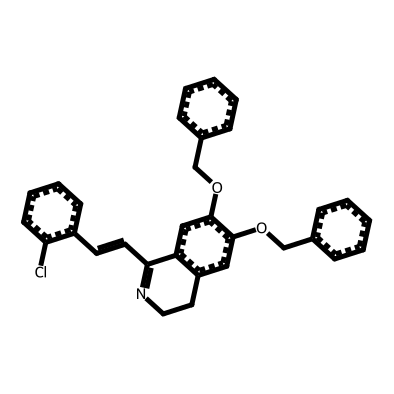 Clc1ccccc1C=CC1=NCCc2cc(OCc3ccccc3)c(OCc3ccccc3)cc21